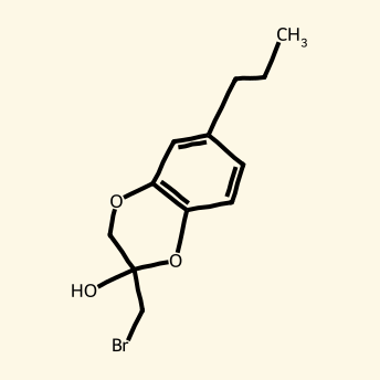 CCCc1ccc2c(c1)OCC(O)(CBr)O2